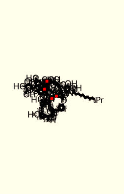 CC(C)CCCCCCCCC(=O)N[C@H]1[C@H](Oc2c3cc4cc2Oc2ccc(cc2Cl)[C@@H](O)[C@@H](C)NC(=O)[C@@H](c2ccc(O)c(-c5c(O[C@H]6O[C@H](CO)[C@@H](O)[C@H](O)[C@@H]6O)cc(O)cc5[C@H](NC=O)C(=O)NCCCN(C)C)c2)NC(=O)[C@@H]4NC(=O)[C@H]2NC(=O)[C@@H](Cc4ccc(cc4)O3)NC(=O)[C@H](N(C)C)c3ccc(O)c(c3)Oc3cc(O)c(Cl)c2c3)O[C@H](C(=O)O)[C@@H](O)[C@@H]1O